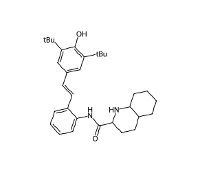 CC(C)(C)c1cc(C=Cc2ccccc2NC(=O)C2CCC3CCCCC3N2)cc(C(C)(C)C)c1O